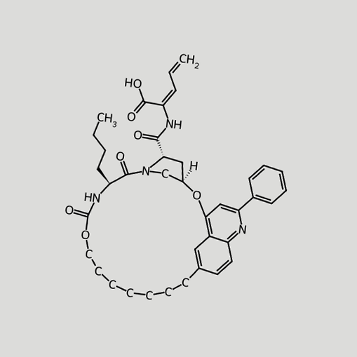 C=C/C=C(/NC(=O)[C@@H]1C[C@@H]2CN1C(=O)[C@H](CCCC)NC(=O)OCCCCCCCc1ccc3nc(-c4ccccc4)cc(c3c1)O2)C(=O)O